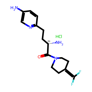 Cl.Nc1ccc(CC[C@H](N)C(=O)N2CCC(=C(F)F)CC2)nc1